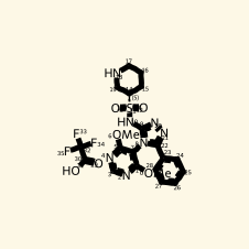 COc1ncnc(OC)c1-n1c(NS(=O)(=O)[C@H]2CCCNC2)nnc1-c1ccccc1.O=C(O)C(F)(F)F